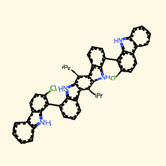 CC(C)c1c2[nH]c3c(-c4c(Cl)ccc5c4[nH]c4ccccc45)cccc3c2c(C(C)C)c2[nH]c3c(-c4c(Cl)ccc5c4[nH]c4ccccc45)cccc3c12